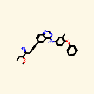 CCC(OC)C(=N)CC#Cc1ccc2ncnc(Nc3ccc(Oc4ccccc4)c(C)c3)c2c1